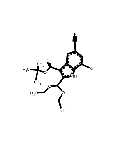 CCOC(OCC)c1[nH]c2c(Br)cc(C#N)cc2c1C(=O)OC(C)(C)C